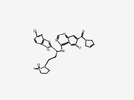 O=C(c1cc2ncnc(N[C@@H](CCN3CCCS3(=O)=O)c3nc4cc(Cl)ccc4[nH]3)c2cc1Cl)N1CC=CC1